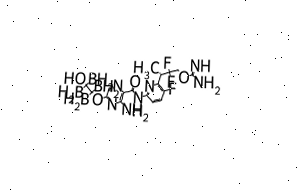 BC(B)(O)C(B)(B)Oc1cnc(C(=O)Nc2ccc(F)c([C@H](C)C(F)(F)COC(=N)N)n2)c(N)n1